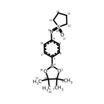 CC1(C)OB(c2ccc(N=S3(=O)CCCC3)cc2)OC1(C)C